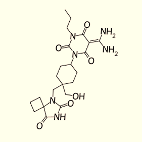 CCCN1C(=O)C(=C(N)N)C(=O)N(C2CCC(CO)(CN3C(=O)NC(=O)C34CCC4)CC2)C1=O